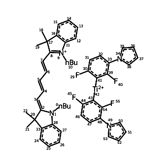 CCCCN1C(=CC=CC=CC2=[N+](CCCC)c3ccccc3C2(C)C)C(C)(C)c2ccccc21.Fc1ccc(-n2cccc2)c(F)[c]1[Ti+2][c]1c(F)ccc(-n2cccc2)c1F